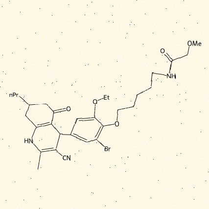 CCCC1CC(=O)C2=C(C1)NC(C)=C(C#N)C2c1cc(Br)c(OCCCCCNC(=O)COC)c(OCC)c1